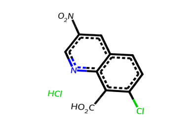 Cl.O=C(O)c1c(Cl)ccc2cc([N+](=O)[O-])cnc12